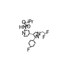 CC(C)S(=O)(=O)Nc1cc(-c2cn(CC(F)F)nc2-c2ccc(F)cc2)ccn1